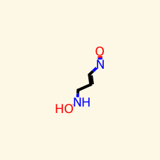 O=NC=CCNO